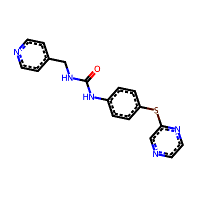 O=C(NCc1ccncc1)Nc1ccc(Sc2cnccn2)cc1